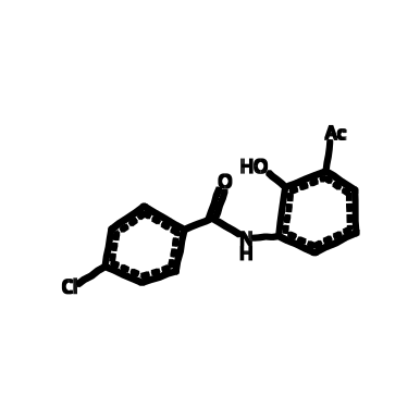 CC(=O)c1cccc(NC(=O)c2ccc(Cl)cc2)c1O